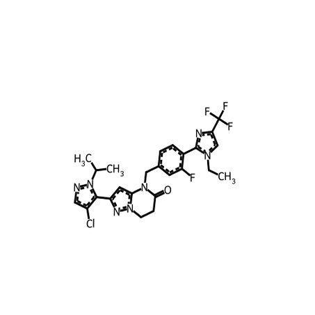 CCn1cc(C(F)(F)F)nc1-c1ccc(CN2C(=O)CCn3nc(-c4c(Cl)cnn4C(C)C)cc32)cc1F